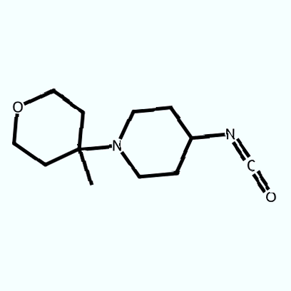 CC1(N2CCC(N=C=O)CC2)CCOCC1